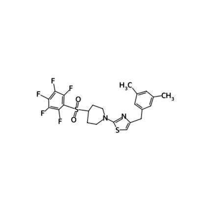 Cc1cc(C)cc(Cc2csc(N3CCC(S(=O)(=O)c4c(F)c(F)c(F)c(F)c4F)CC3)n2)c1